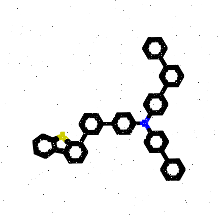 c1ccc(-c2ccc(N(c3ccc(-c4cccc(-c5ccccc5)c4)cc3)c3ccc(-c4cccc(-c5cccc6c5sc5ccccc56)c4)cc3)cc2)cc1